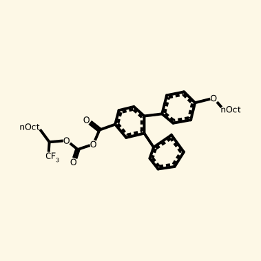 CCCCCCCCOc1ccc(-c2ccc(C(=O)OC(=O)OC(CCCCCCCC)C(F)(F)F)cc2-c2ccccc2)cc1